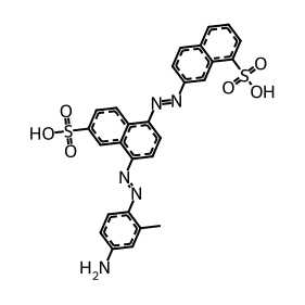 Cc1cc(N)ccc1/N=N/c1ccc(/N=N/c2ccc3cccc(S(=O)(=O)O)c3c2)c2ccc(S(=O)(=O)O)cc12